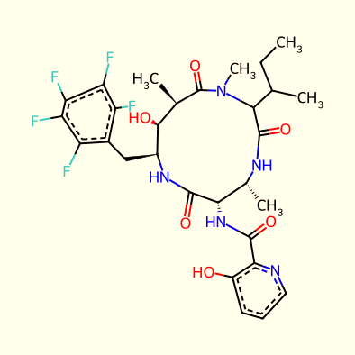 CCC(C)C1C(=O)N[C@H](C)[C@H](NC(=O)c2ncccc2O)C(=O)N[C@@H](Cc2c(F)c(F)c(F)c(F)c2F)[C@@H](O)[C@@H](C)C(=O)N1C